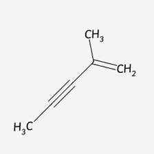 C=C(C)C#CC